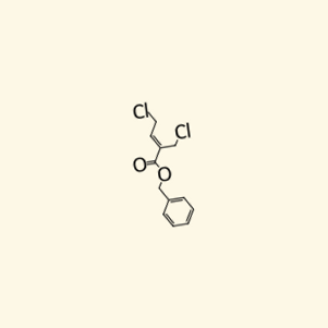 O=C(OCc1ccccc1)/C(=C/CCl)CCl